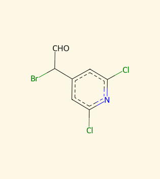 O=CC(Br)c1cc(Cl)nc(Cl)c1